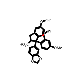 CCCOc1ccc2c(c1)CC(C(=O)O)C2(c1ccc2c(c1)OCO2)c1ccc(OC)cc1OC(C)C